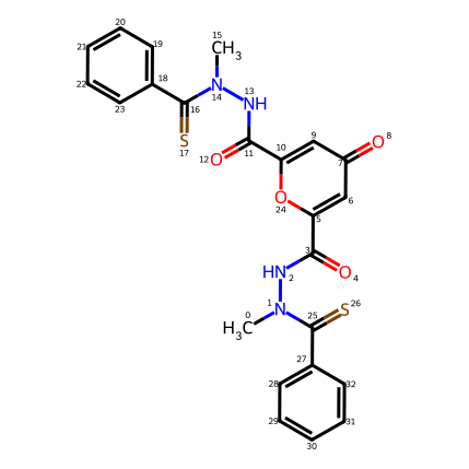 CN(NC(=O)c1cc(=O)cc(C(=O)NN(C)C(=S)c2ccccc2)o1)C(=S)c1ccccc1